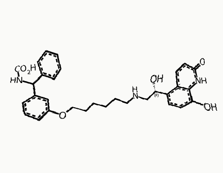 O=C(O)NC(c1ccccc1)c1cccc(OCCCCCCNC[C@H](O)c2ccc(O)c3[nH]c(=O)ccc23)c1